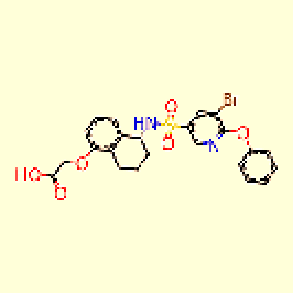 O=C(O)COc1cccc2c1CCC[C@H]2NS(=O)(=O)c1cnc(Oc2ccccc2)c(Br)c1